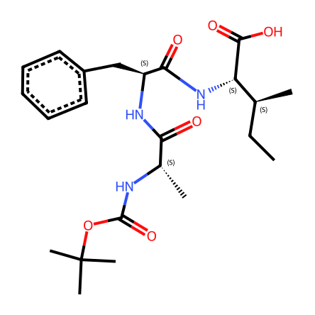 CC[C@H](C)[C@H](NC(=O)[C@H](Cc1ccccc1)NC(=O)[C@H](C)NC(=O)OC(C)(C)C)C(=O)O